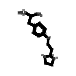 NC(Cc1ccc(OCCC2OCCO2)cc1)C(=O)O